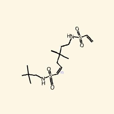 C=CS(=O)(=O)NCCC(C)(C)C/C=C\S(=O)(=O)NCC(C)(C)C